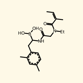 C/C=C(/C)C(=O)N(CC)CC(=O)NC(Cc1ccc(C)cc1C)B(O)O